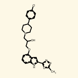 Cc1nnc(-c2cc3c(OCC(O)CN4CCC(c5ccc(Cl)cc5)CC4)cccc3[nH]2)o1